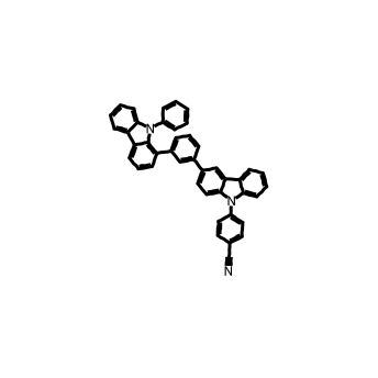 N#Cc1ccc(-n2c3ccccc3c3cc(-c4cccc(-c5cccc6c7ccccc7n(-c7ccccc7)c56)c4)ccc32)cc1